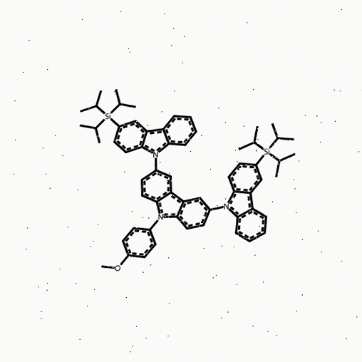 COc1ccc(-n2c3ccc(-n4c5ccccc5c5cc([Si](C(C)C)(C(C)C)C(C)C)ccc54)cc3c3cc(-n4c5ccccc5c5cc([Si](C(C)C)(C(C)C)C(C)C)ccc54)ccc32)cc1